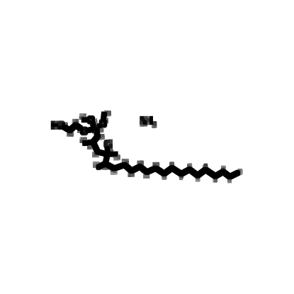 CCCCCCCCCCCCCCCCC(C)C(C)(Cl)CC(C)C[Si](OC)(OC)OCCO.N